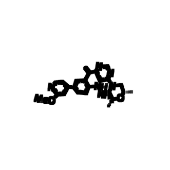 C=C(c1cc(N2C[C@@H](C)O[C@@H](C)C2)ncn1)c1cc(-c2ccnc(OC)c2)ccc1NN